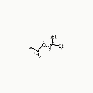 CCC(CC)=NO[SiH2]C